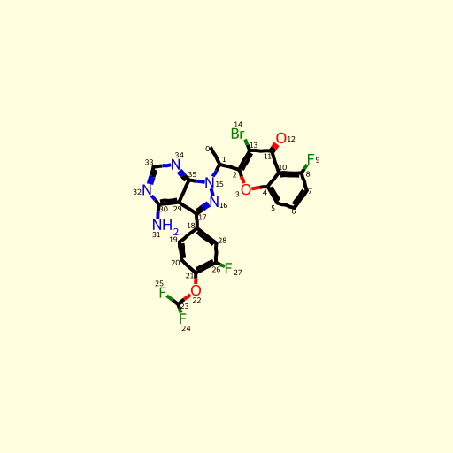 CC(c1oc2cccc(F)c2c(=O)c1Br)n1nc(-c2ccc(OC(F)F)c(F)c2)c2c(N)ncnc21